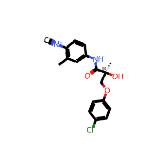 [C-]#[N+]c1ccc(NC(=O)[C@@](C)(O)COc2ccc(Cl)cc2)cc1C